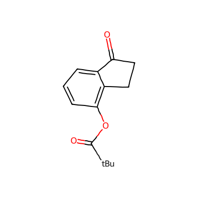 CC(C)(C)C(=O)Oc1cccc2c1CCC2=O